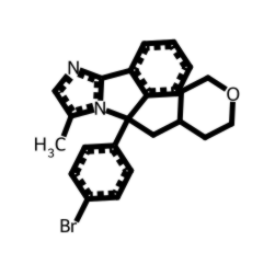 Cc1cnc2n1C(CC1CCOCC1)(c1ccc(Br)cc1)c1ccccc1-2